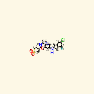 CN(C(=O)C1CCS(=O)(=O)CC1)[C@@H](c1ccc(NC2Cc3cc(Cl)cc(F)c3C2)cn1)C(F)(F)F